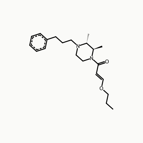 CCCOC=CC(=O)N1CCN(CCCc2ccccc2)[C@H](C)[C@H]1C